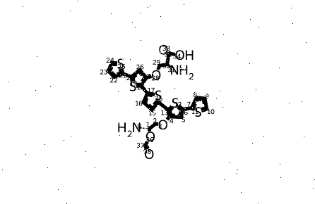 N[C@H](COc1cc(-c2cccs2)sc1-c1ccc(-c2sc(-c3cccs3)cc2OC[C@H](N)C(=O)O)s1)OC=O